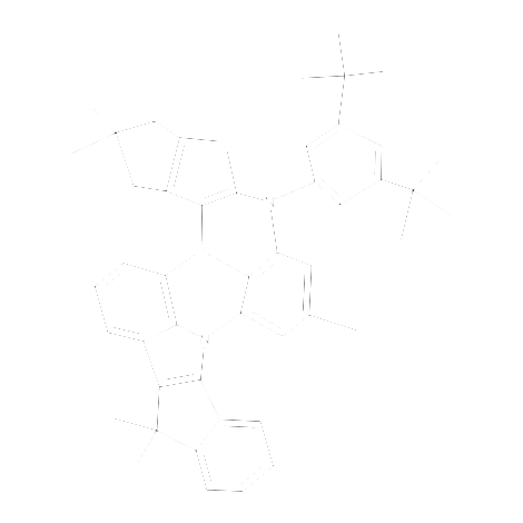 Cc1cc2c3c(c1)-n1c4c(c5cccc(c51)B3c1c(sc3c1CC(C)(C)C3)N2c1cc(C(C)(C)C)cc(C(C)(C)C)c1)C(C)(C)c1ccccc1-4